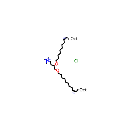 CCCCCCCC/C=C\CCCCCCCCOCC(CC[N+](C)(C)C)OCCCCCCCC/C=C\CCCCCCCC.[Cl-]